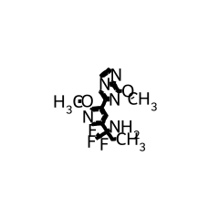 CCC(N)(c1cnc(OC)c(-c2cn3ccnc3c(OC)n2)c1)C(F)(F)F